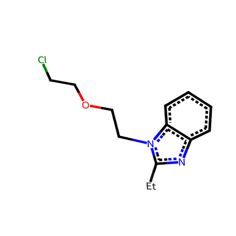 CCc1nc2ccccc2n1CCOCCCl